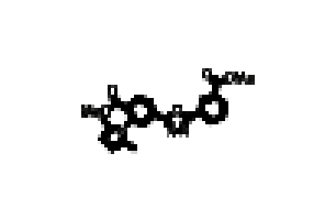 COC(=O)c1cccc(-c2nnc(-c3ccc(C(=O)OC)c(-n4c(C)ccc4C)c3)o2)c1